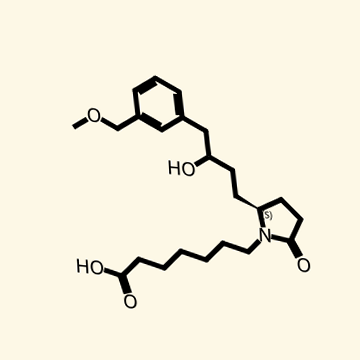 COCc1cccc(CC(O)CC[C@H]2CCC(=O)N2CCCCCCC(=O)O)c1